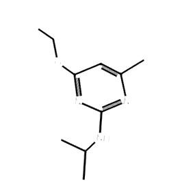 CCOc1cc(C)nc(NC(C)C)n1